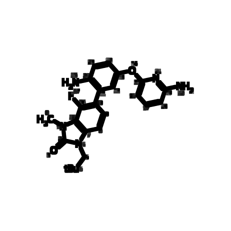 Cn1c(=O)n(CC(C)(C)C)c2ccc(-c3cc(Oc4cccc(N)n4)ccc3N)c(F)c21